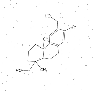 CC(C)c1cc2c(cc1CO)C1(C)CCCC(C)(CO)C1CC2